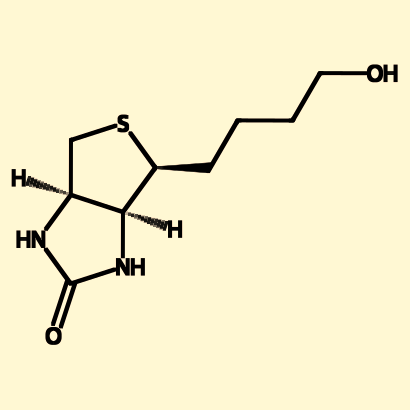 O=C1N[C@H]2[C@H](CS[C@H]2CCCCO)N1